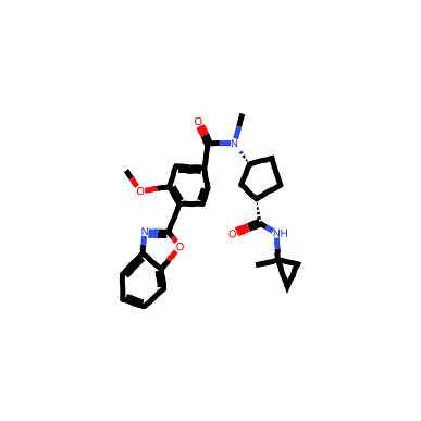 COc1cc(C(=O)N(C)[C@@H]2CC[C@H](C(=O)NC3(C)CC3)C2)ccc1-c1nc2ccccc2o1